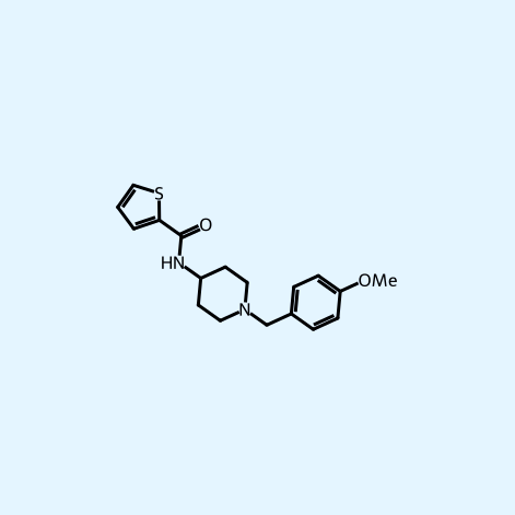 COc1ccc(CN2CCC(NC(=O)c3cccs3)CC2)cc1